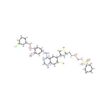 O=S(=O)(CCOCCc1nc(-c2cc3c(Nc4ccc(OCc5cccc(F)c5)c(Br)c4)ncnc3cc2F)cs1)c1ccccc1